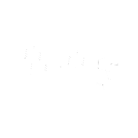 Cc1ccc(C(=O)/C=C/c2ccc(/C=C3/SC(=S)N(CC(=O)O)C3=O)cc2)c(C)c1